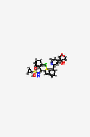 O=S(=O)(NC(c1cc2cccc(-c3cc([C@@]4(O)CCOC4)ccn3)c2s1)c1ccccc1Cl)C1CC1